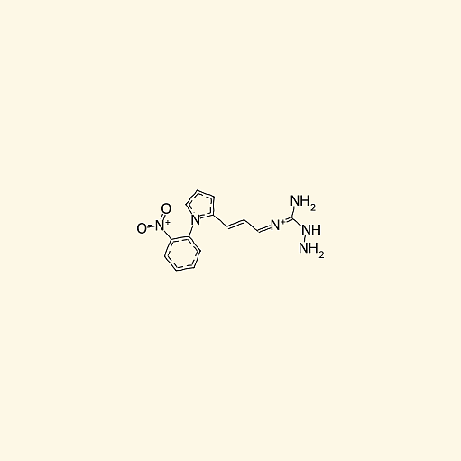 NNC(N)=[N+]=CC=Cc1cccn1-c1ccccc1[N+](=O)[O-]